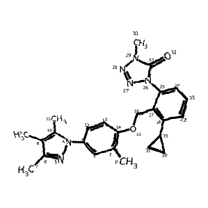 Cc1cc(-n2nc(C)c(C)c2C)ccc1OCc1c(C2CC2)cccc1-n1nnn(C)c1=O